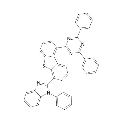 c1ccc(-c2nc(-c3ccccc3)nc(-c3cccc4sc5c(-c6nc7ccccc7n6-c6ccccc6)cccc5c34)n2)cc1